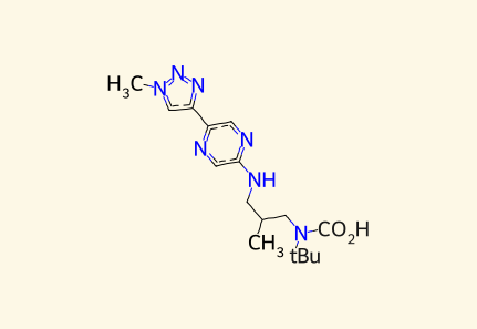 CC(CNc1cnc(-c2cn(C)nn2)cn1)CN(C(=O)O)C(C)(C)C